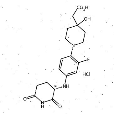 Cl.O=C(O)CC1(O)CCN(c2ccc(N[C@H]3CCC(=O)NC3=O)cc2F)CC1